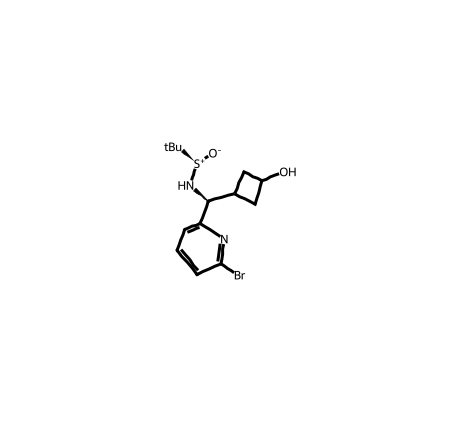 CC(C)(C)[S@@+]([O-])N[C@H](c1cccc(Br)n1)C1CC(O)C1